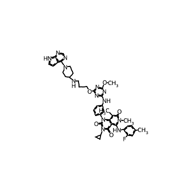 COc1nc(Nc2cccc(-n3c(=O)n(C4CC4)c(=O)c4c(Nc5ccc(C)cc5F)n(C)c(=O)c(C)c43)c2)nc(OCCCNC2CCN(c3ncnc4[nH]ccc34)CC2)n1